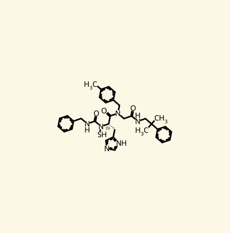 Cc1ccc(CN(CC(=O)NCC(C)(C)c2ccccc2)C(=O)[C@H](Cc2cnc[nH]2)N(S)C(=O)NCc2ccccc2)cc1